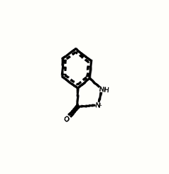 O=C1[N]Nc2ccccc21